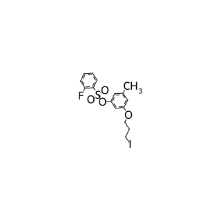 Cc1cc(OCCCI)cc(OS(=O)(=O)c2ccccc2F)c1